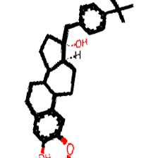 COc1cc2c(cc1O)CCC1C2CC[C@H]2C1CC[C@@]2(O)Cc1ccc(C(C)(C)C)cc1